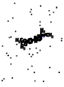 C=C/C=C(\C)c1ccc2nc(C3=CCN(C(=O)OC(C)C)CC3)sc2n1